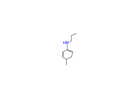 CCCNC1=CCC(C)C=C1